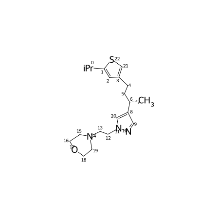 CC(C)c1cc(CC[C@H](C)c2cnn(CCN3CCOCC3)c2)cs1